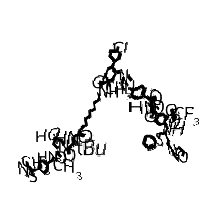 Cc1ncsc1-c1ccc([C@H](C)NC(=O)[C@@H]2C[C@@H](O)CN2C(=O)[C@@H](NC(=O)CCCCCCCCCNC(=O)C2(C)CCC(c3ccc(Cl)cc3)=C(CN3CCN(c4ccc(C(=O)NS(=O)(=O)c5ccc(NC(CCN6CCOCC6)CSc6ccccc6)c(S(=O)(=O)C(F)(F)F)c5)cc4)CC3)C2)C(C)(C)C)cc1